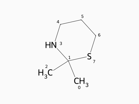 CC1(C)NCCCS1